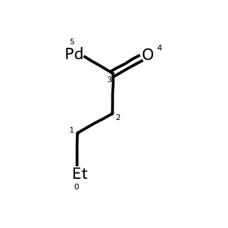 CCCC[C](=O)[Pd]